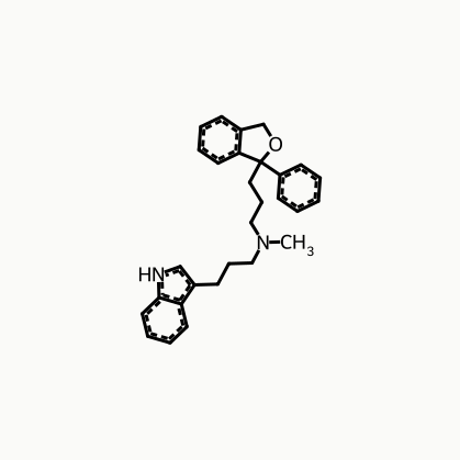 CN(CCCc1c[nH]c2ccccc12)CCCC1(c2ccccc2)OCc2ccccc21